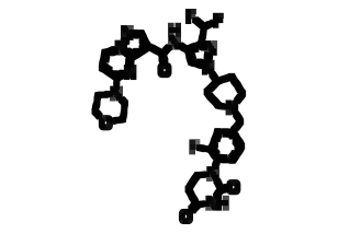 O=C1CCN(c2ccc(CN3CCC(n4cc(NC(=O)c5cnn6ccc(N7CCOCC7)nc56)c(C(F)F)n4)CC3)cc2F)C(=O)N1